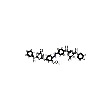 O=S(=O)(O)c1cc(Nc2nc(Cl)nc(Nc3ccccc3)n2)ccc1/C=C/c1ccc(Nc2nc(Cl)nc(Nc3ccccc3)n2)cc1